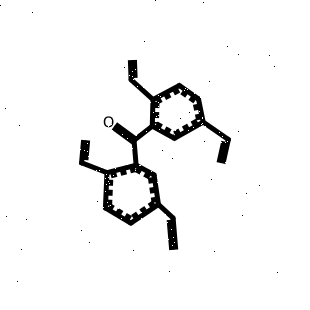 C=Cc1ccc(C=C)c(C(=O)c2cc(C=C)ccc2C=C)c1